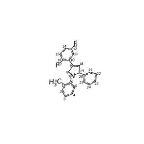 Cc1ccccc1N1CC(c2cc(F)ccc2F)=CC1c1ccccc1